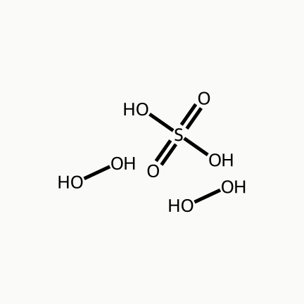 O=S(=O)(O)O.OO.OO